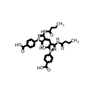 CCCC(=O)NC1=NN(c2ccc(C(=O)O)cc2)C(=O)C1=Cc1c(NC(=O)CCC)nn(-c2ccc(C(=O)O)cc2)c1O